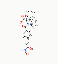 O=C(C=Cc1ccc(C(=O)N[C@H](C(=O)O)C2(C3CCCC3)CCCCC2)cc1)NO